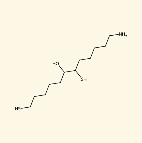 NCCCCCC(S)C(O)CCCCCS